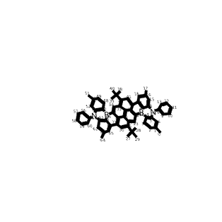 Cc1ccc2c(c1)N(c1ccccc1)c1cc(C)cc3c1B2c1cc2c(C(C)(C)C)cc4c5c(cc6c(C(C)(C)C)cc-3c1c6c25)B1c2ccc(C)cc2N(c2ccccc2)c2cc(C)cc-4c21